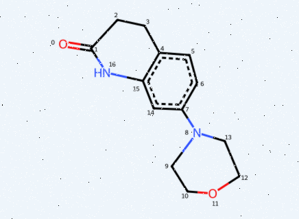 O=C1CCc2c[c]c(N3CCOCC3)cc2N1